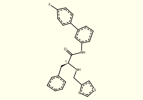 O=C(Nc1cccc(-c2ccc(F)cc2)c1)[C@H](Cc1ccccc1)NCc1cscn1